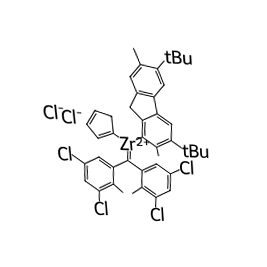 Cc1cc2c(cc1C(C)(C)C)-c1cc(C(C)(C)C)c(C)[c]([Zr+2]([C]3=CC=CC3)=[C](c3cc(Cl)cc(Cl)c3C)c3cc(Cl)cc(Cl)c3C)c1C2.[Cl-].[Cl-]